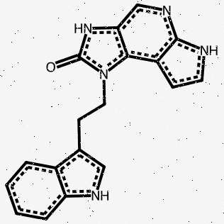 O=c1[nH]c2cnc3[nH]ccc3c2n1CCc1c[nH]c2ccccc12